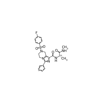 CNC(=O)[C@H](C)NC(=O)c1nc(-c2ccsc2)n2c1CN(S(=O)(=O)c1ccc(F)cc1)CC2